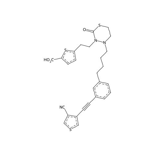 N#Cc1cscc1C#Cc1cccc(CCCCN2CCSC(=O)N2CCc2ccc(C(=O)O)s2)c1